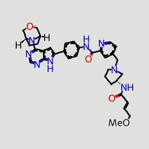 COC/C=C/C(=O)N[C@@H]1CCCN(Cc2ccnc(C(=O)Nc3ccc(-c4cc5c(N6[C@@H]7CC[C@H]6COC7)ncnc5[nH]4)cc3)c2)C1